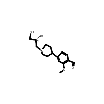 COc1cc(C2CCN(C[C@@H](O)CO)CC2)ccc1C=O